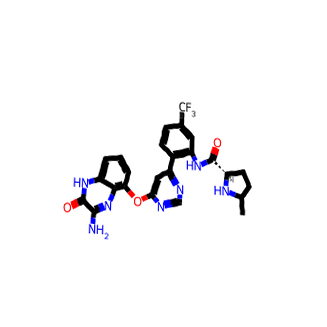 CC1CC[C@@H](C(=O)Nc2cc(C(F)(F)F)ccc2-c2cc(Oc3cccc4[nH]c(=O)c(N)nc34)ncn2)N1